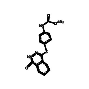 CC(C)(C)OC(=O)Nc1ccc(Sc2n[nH]c(=O)c3ccccc23)cc1